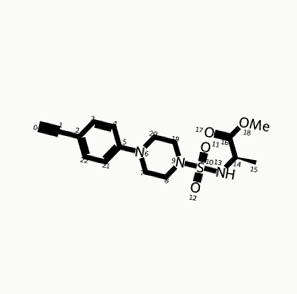 C#Cc1ccc(N2CCN(S(=O)(=O)N[C@H](C)C(=O)OC)CC2)cc1